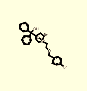 OC(c1ccccc1)(c1ccccc1)C12CC[N+](CCOCc3ccc(Br)cc3)(CC1)CC2.[Br-]